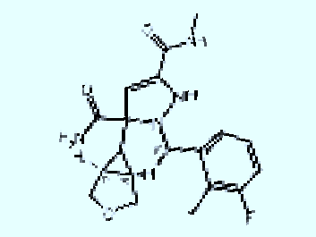 CNC(=O)C1=CC(C(N)=O)(C2[C@H]3COC[C@@H]23)N([C@H](C)c2cccc(F)c2C)N1